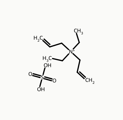 C=CC[N+](CC)(CC)CC=C.O=S(=O)(O)O